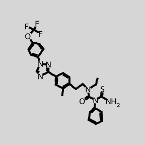 CCN(CCc1ccc(-c2ncn(-c3ccc(OC(F)(F)F)cc3)n2)cc1C)C(=O)N(C(N)=S)c1ccccc1